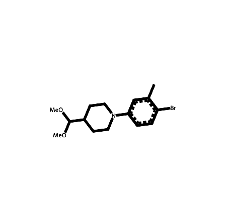 COC(OC)C1CCN(c2ccc(Br)c(C)c2)CC1